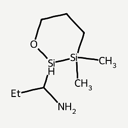 CCC(N)[SiH]1OCCC[Si]1(C)C